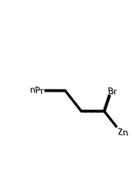 CCCCC[CH]([Zn])Br